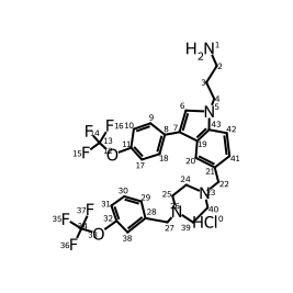 Cl.NCCCn1cc(-c2ccc(OC(F)(F)F)cc2)c2cc(CN3CCN(Cc4cccc(OC(F)(F)F)c4)CC3)ccc21